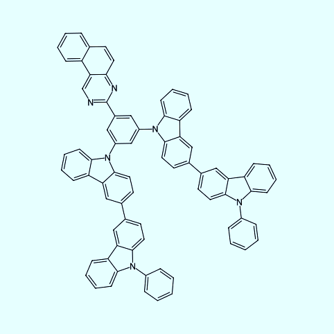 c1ccc(-n2c3ccccc3c3cc(-c4ccc5c(c4)c4ccccc4n5-c4cc(-c5ncc6c(ccc7ccccc76)n5)cc(-n5c6ccccc6c6cc(-c7ccc8c(c7)c7ccccc7n8-c7ccccc7)ccc65)c4)ccc32)cc1